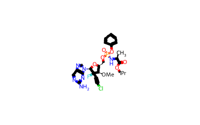 CO[C@H]1[C@@H](COP(=O)(N[C@@H](C)C(=O)OC(C)C)Oc2ccccc2)O[C@@H](n2cnc3cnc(N)nc32)C1(F)C#CCl